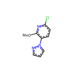 COc1nc(Cl)ccc1-n1cc[c]n1